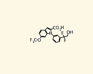 O=C(O)c1cc2ccc(OC(F)(F)F)cc2n1-c1cccc(C(F)(F)CO)c1